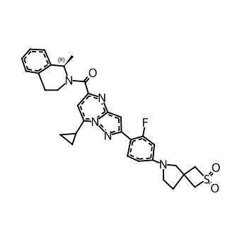 C[C@@H]1c2ccccc2CCN1C(=O)c1cc(C2CC2)n2nc(-c3ccc(N4CCC5(C4)CS(=O)(=O)C5)cc3F)cc2n1